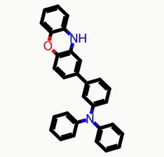 c1ccc(N(c2ccccc2)c2cccc(-c3ccc4c(c3)Nc3ccccc3O4)c2)cc1